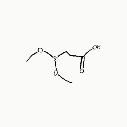 CO[S+](CC(=O)O)OC